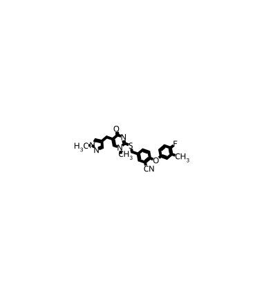 Cc1cc(Oc2ccc(CSc3nc(=O)c(Cc4cnn(C)c4)cn3C)cc2C#N)ccc1F